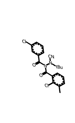 Cc1cccc(C(=O)N(C(=O)c2cccc(Cl)c2)N(C#N)C(C)(C)C)c1Cl